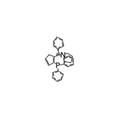 C1=CC(P(c2ccccc2)c2ccccc2)=C([C@@H](c2ccccc2)N2CCCC2)C1